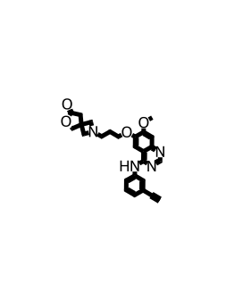 C#Cc1cccc(Nc2ncnc3cc(OC)c(OCCCN4CC5(COC(=O)C5)C4)cc23)c1